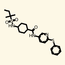 CCC(C)(C)S(=O)(=O)NC1CCC(C(=O)Nc2ccc(Sc3ccccc3)nc2)CC1